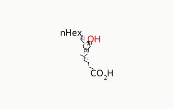 CCCCCC/C=C/C1C[C@@H](C/C(C)=C\CCCC(=O)O)C[C@H]1O